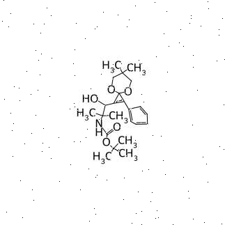 CC1(C)COC2(OC1)C(c1ccccc1)=C2C(O)C(C)(C)NC(=O)OC(C)(C)C